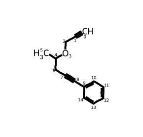 C#CCOC(C)CC#Cc1ccccc1